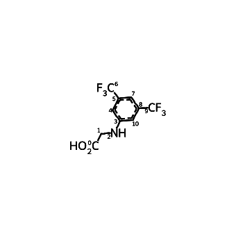 O=C(O)CNc1cc(C(F)(F)F)cc(C(F)(F)F)c1